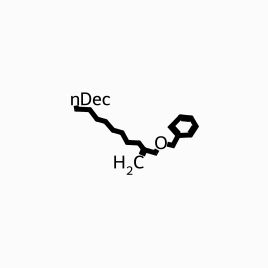 C=C(CCCCCCCCCCCCCCCCCC)COCc1ccccc1